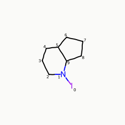 IN1CCCC2CCCC21